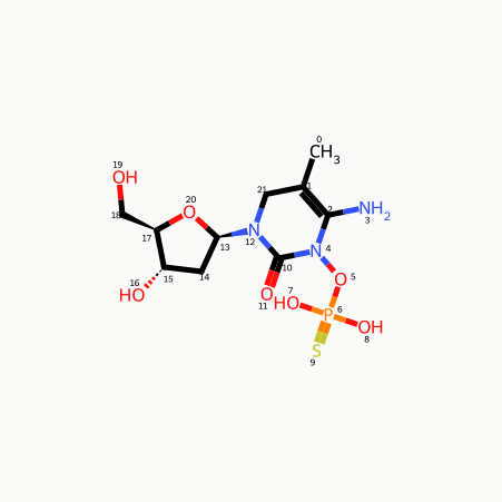 CC1=C(N)N(OP(O)(O)=S)C(=O)N([C@H]2C[C@H](O)[C@@H](CO)O2)C1